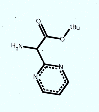 CC(C)(C)OC(=O)C(N)c1ncccn1